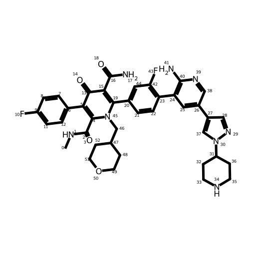 CNC(=O)c1c(-c2ccc(F)cc2)c(=O)c(C(N)=O)c(-c2ccc(-c3cc(-c4cnn(C5CCNCC5)c4)cnc3N)c(F)c2)n1CC1CCOCC1